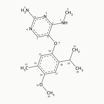 CNc1nc(N)ncc1Oc1cc(C)c(OC)cc1C(C)C